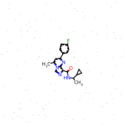 Cc1cc(-c2ccc(F)cc2)nc2c(C(=O)NC(C)C3CC3)ncn12